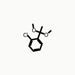 COC(C)(OC)c1ccccc1Cl